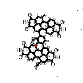 Cc1cc2c3c(cc(-c4ccc(-c5cc6c7c(cc(C#N)c8c9ccc%10c%11c(ccc(c5c78)c%119)C(=O)NC%10=O)C(=O)NC6=O)c5nsnc45)c4c5ccc6c7c(ccc(c1c34)c75)C(=O)NC6=O)C(=O)NC2=O